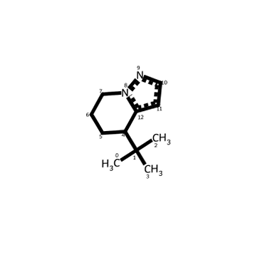 CC(C)(C)C1CCCn2nccc21